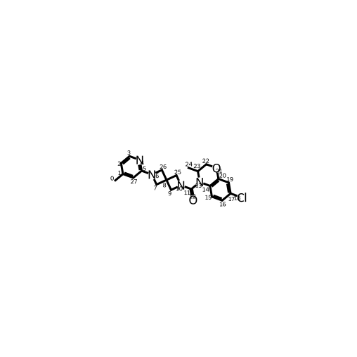 Cc1ccnc(N2CC3(CN(C(=O)N4c5ccc(Cl)cc5OCC4C)C3)C2)c1